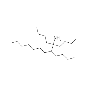 CCCCCCCC(CCCC)C(N)(CCCC)CCCC